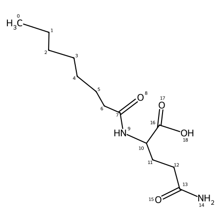 CCCCCCCC(=O)NC(CCC(N)=O)C(=O)O